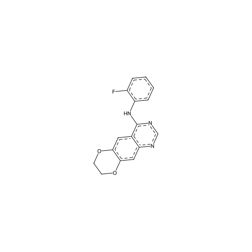 Fc1ccccc1Nc1ncnc2cc3c(cc12)OCCO3